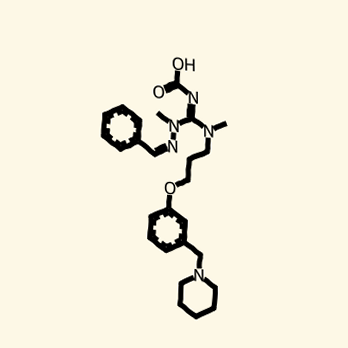 CN(CCCOc1cccc(CN2CCCCC2)c1)C(=NC(=O)O)N(C)N=Cc1ccccc1